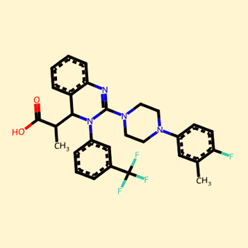 Cc1cc(N2CCN(C3=Nc4ccccc4C(C(C)C(=O)O)N3c3cccc(C(F)(F)F)c3)CC2)ccc1F